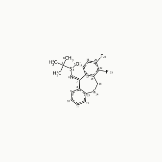 CC(C)(C)[S+]([O-])N=C1c2ccccc2SCc2c1ccc(F)c2F